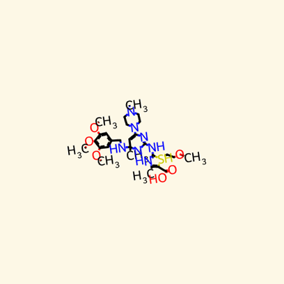 COCC[SH]1C(NC2=NC(N3CCN(C)CC3)=CC(C)(NCc3cc(OC)c(OC)c(OC)c3)N2)=NC(C)=C1C(=O)O